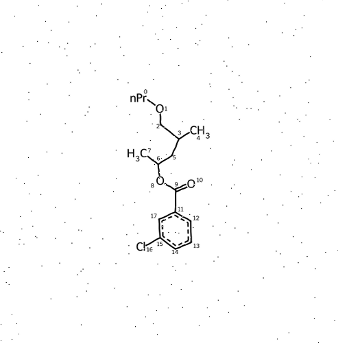 CCCOCC(C)CC(C)OC(=O)c1cccc(Cl)c1